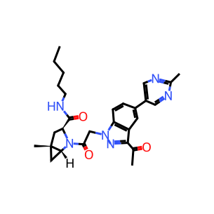 CCCCCNC(=O)[C@@H]1C[C@@]2(C)C[C@H]2N1C(=O)Cn1nc(C(C)=O)c2cc(-c3cnc(C)nc3)ccc21